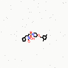 Cc1ccc(C)c(COC2CCN(S(=O)(=O)CC(Cc3ccccc3)N(O)C=O)CC2)c1